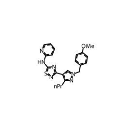 CCCc1nn(Cc2ccc(OC)cc2)cc1-c1nsc(Nc2ccccn2)n1